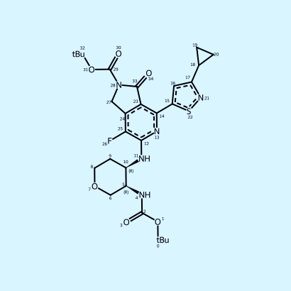 CC(C)(C)OC(=O)N[C@H]1COCC[C@H]1Nc1nc(-c2cc(C3CC3)ns2)c2c(c1F)CN(C(=O)OC(C)(C)C)C2=O